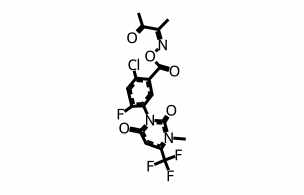 CC(=O)C(C)=NOC(=O)c1cc(-n2c(=O)cc(C(F)(F)F)n(C)c2=O)c(F)cc1Cl